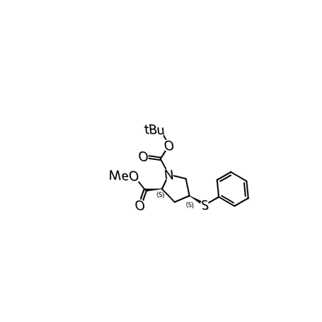 COC(=O)[C@@H]1C[C@H](Sc2ccccc2)CN1C(=O)OC(C)(C)C